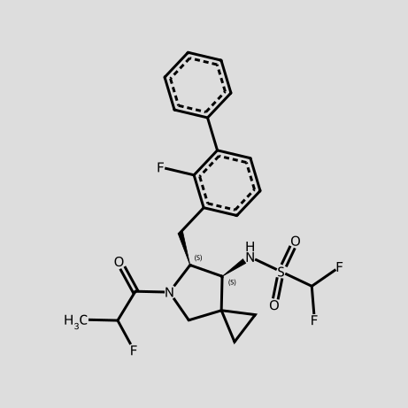 CC(F)C(=O)N1CC2(CC2)[C@H](NS(=O)(=O)C(F)F)[C@@H]1Cc1cccc(-c2ccccc2)c1F